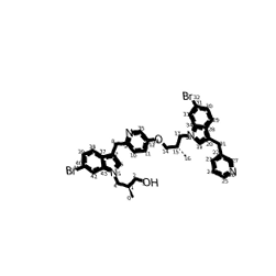 C[C@H](CO)Cn1cc(Cc2ccc(OC[C@@H](C)Cn3cc(Cc4cccnc4)c4ccc(Br)cc43)cn2)c2ccc(Br)cc21